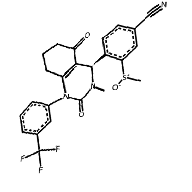 CN1C(=O)N(c2cccc(C(F)(F)F)c2)C2=C(C(=O)CCC2)[C@H]1c1ccc(C#N)cc1[S+](C)[O-]